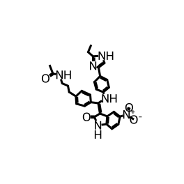 CCc1nc(-c2ccc(NC(=C3C(=O)Nc4ccc([N+](=O)[O-])cc43)c3ccc(CCCNC(C)=O)cc3)cc2)c[nH]1